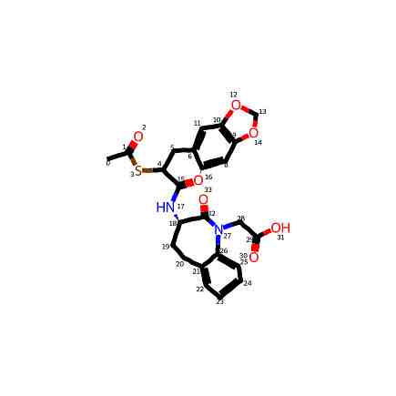 CC(=O)SC(Cc1ccc2c(c1)OCO2)C(=O)N[C@H]1CCc2ccccc2N(CC(=O)O)C1=O